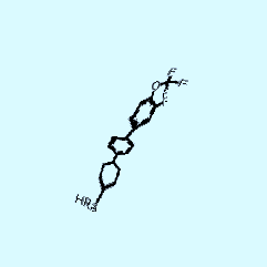 Fc1cc(-c2ccc(C3CC[CH]([RaH])CC3)cc2)ccc1OC(F)(F)F